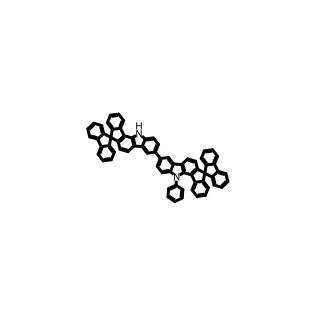 c1ccc(-n2c3ccc(-c4ccc5[nH]c6c7c(ccc6c5c4)C4(c5ccccc5-c5ccccc54)c4ccccc4-7)cc3c3ccc4c(c32)-c2ccccc2C42c3ccccc3-c3ccccc32)cc1